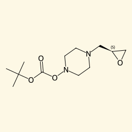 CC(C)(C)OC(=O)ON1CCN(C[C@H]2CO2)CC1